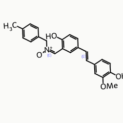 COc1cc(/C=C/c2ccc(O)c(/C=[N+](/[O-])Cc3ccc(C)cc3)c2)ccc1O